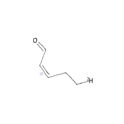 [2H]CC/C=C\C=O